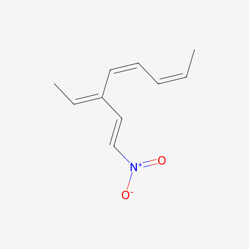 C\C=C/C=C\C(\C=C\[N+](=O)[O-])=C/C